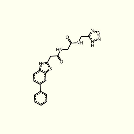 O=C(CNC(=O)Cc1nc2ccc(-c3ccccc3)cc2s1)NCc1nnn[nH]1